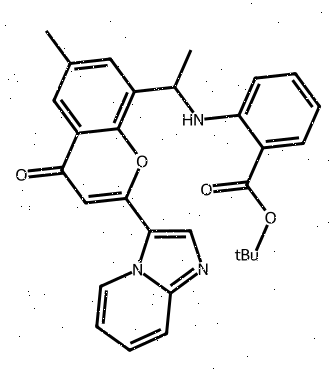 Cc1cc(C(C)Nc2ccccc2C(=O)OC(C)(C)C)c2oc(-c3cnc4ccccn34)cc(=O)c2c1